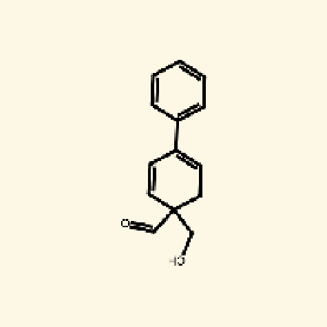 O=CC1(CO)C=CC(c2ccccc2)=CC1